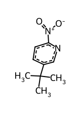 CC(C)(C)c1ccc([N+](=O)[O-])nc1